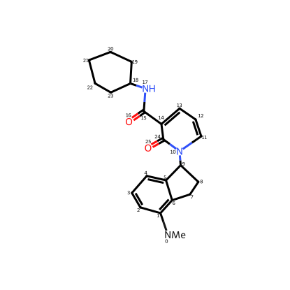 CNc1cccc2c1CCC2n1cccc(C(=O)NC2CCCCC2)c1=O